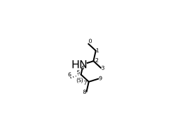 CCC(C)N[C@@H](C)C(C)C